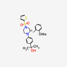 COc1ccccc1C[C@H]1CN(S(=O)(=O)c2cccs2)CCN1c1ccc(C(C)(C)O)cc1